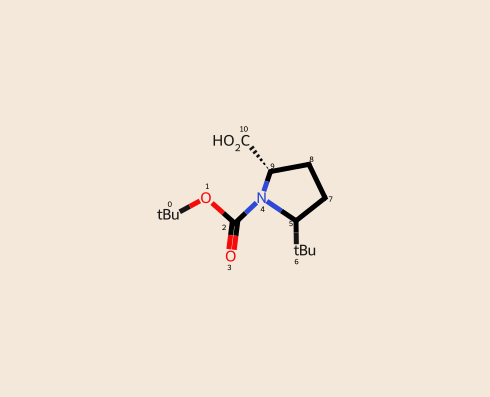 CC(C)(C)OC(=O)N1C(C(C)(C)C)CC[C@H]1C(=O)O